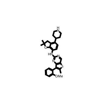 COc1ccccc1-c1c(C)sc2cnc(Nc3ccc(C4CCNCC4)c4c3OC(C)(C)C4)nc12